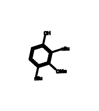 CCCCc1ccc(O)c(CCCC)c1OC